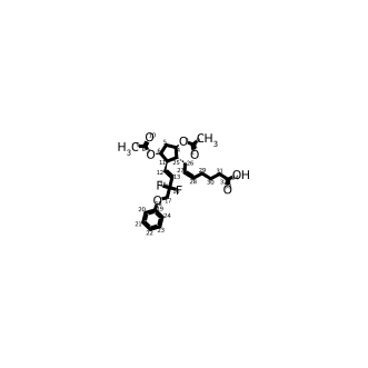 CC(=O)O[C@H]1C[C@@H](OC(C)=O)[C@H](/C=C/C(F)(F)COc2ccccc2)[C@H]1C/C=C\CCCC(=O)O